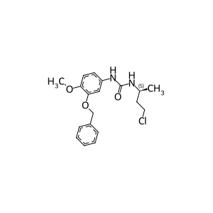 COc1ccc(NC(=O)N[C@@H](C)CCCl)cc1OCc1ccccc1